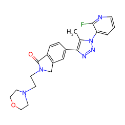 Cc1c(-c2ccc3c(c2)CN(CCN2CCOCC2)C3=O)nnn1-c1cccnc1F